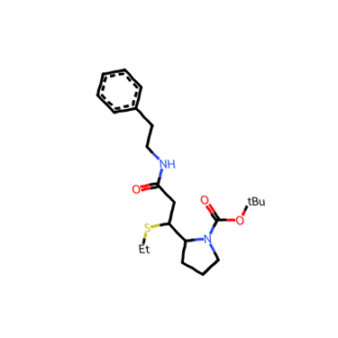 CCSC(CC(=O)NCCc1ccccc1)C1CCCN1C(=O)OC(C)(C)C